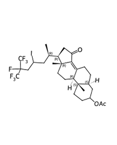 CC(=O)OC1CC[C@@]2(C)[C@@H](CCC3=C4C(=O)C[C@H]([C@H](C)CC(I)CC(F)(C(F)(F)F)C(F)(F)F)[C@@]4(C)CC[C@@H]32)C1